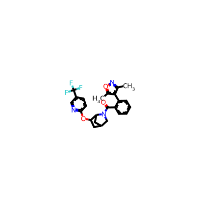 Cc1noc(C)c1-c1ccccc1C(=O)N1CC2CC(Oc3ccc(C(F)(F)F)cn3)C1C2